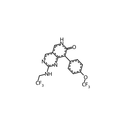 O=c1[nH]cc2cnc(NCC(F)(F)F)nc2c1-c1ccc(OC(F)(F)F)cc1